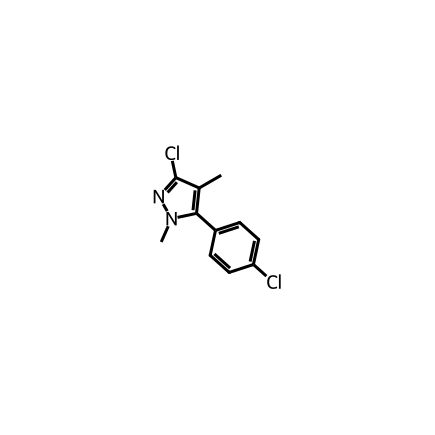 Cc1c(Cl)nn(C)c1-c1ccc(Cl)cc1